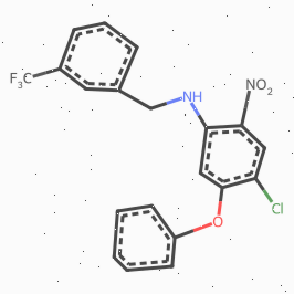 O=[N+]([O-])c1cc(Cl)c(Oc2ccccc2)cc1NCc1cccc(C(F)(F)F)c1